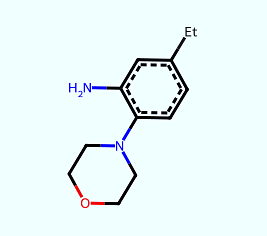 CCc1ccc(N2CCOCC2)c(N)c1